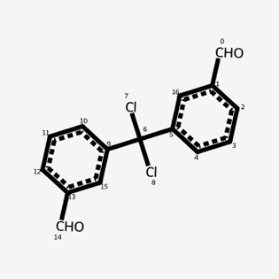 O=Cc1cccc(C(Cl)(Cl)c2cccc(C=O)c2)c1